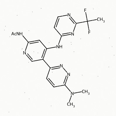 CC(=O)Nc1cc(Nc2ccnc(C(C)(F)F)n2)c(-c2ccc(N(C)C)nn2)cn1